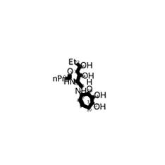 CCCC(=O)NC(CNC1C=CCC(O)C(O)C1O)C(O)CC(O)CC